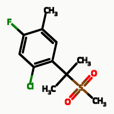 Cc1cc(C(C)(C)S(C)(=O)=O)c(Cl)cc1F